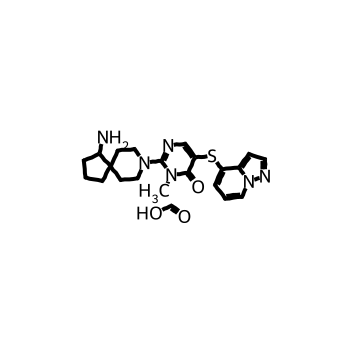 Cn1c(N2CCC3(CCCC3N)CC2)ncc(Sc2cccn3nccc23)c1=O.O=CO